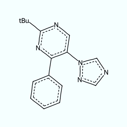 CC(C)(C)c1ncc(-n2cncn2)c(-c2ccccc2)n1